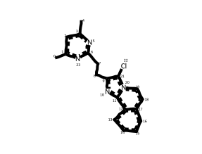 Cc1cc(C)nc(CCc2nc3c4ccccc4ccn3c2Cl)n1